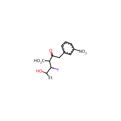 CCC(O)C(I)C(C(=O)O)C(=O)Cc1cccc([N+](=O)[O-])c1